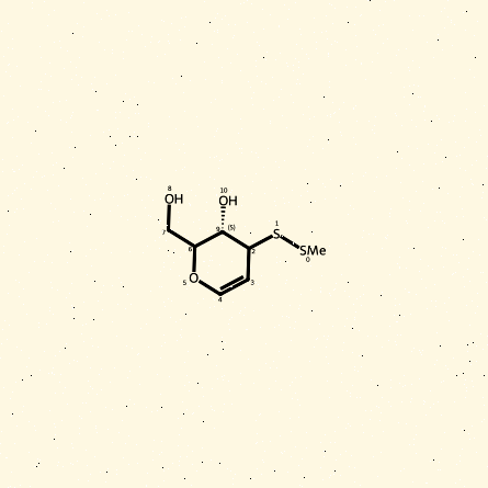 CSSC1C=COC(CO)[C@@H]1O